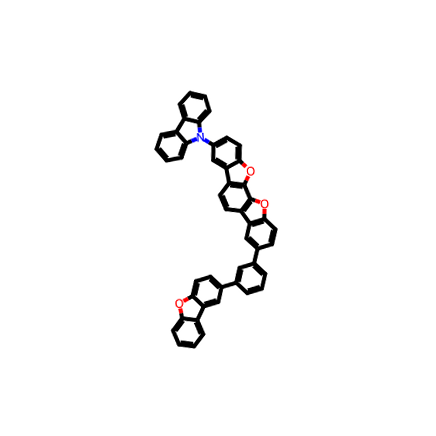 c1cc(-c2ccc3oc4ccccc4c3c2)cc(-c2ccc3oc4c(ccc5c6cc(-n7c8ccccc8c8ccccc87)ccc6oc54)c3c2)c1